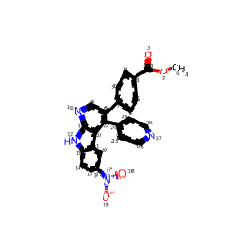 COC(=O)c1ccc(-c2cnc3[nH]c4ccc([N+](=O)[O-])cc4c3c2-c2ccncc2)cc1